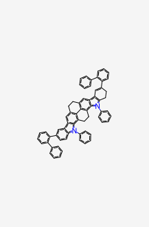 C1=C(c2ccccc2-c2ccccc2)CCc2c1c1cc3c4c(c1n2-c1ccccc1)CCc1c-4c(cc2c4cc(-c5ccccc5-c5ccccc5)ccc4n(-c4ccccc4)c12)CC3